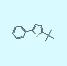 CC(C)(C)c1ccc(-c2ccccc2)s1